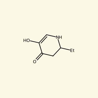 CCC1CC(=O)C(O)=CN1